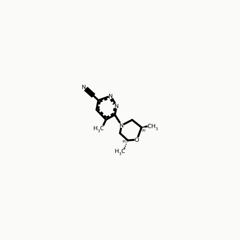 Cc1cc(C#N)nnc1N1C[C@@H](C)O[C@H](C)C1